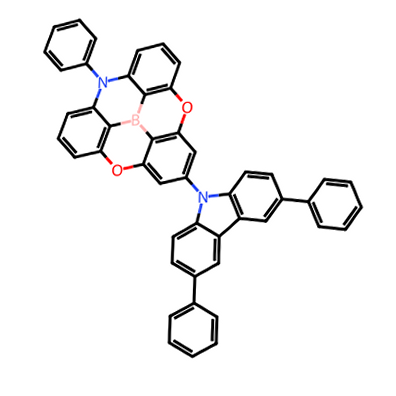 c1ccc(-c2ccc3c(c2)c2cc(-c4ccccc4)ccc2n3-c2cc3c4c(c2)Oc2cccc5c2B4c2c(cccc2N5c2ccccc2)O3)cc1